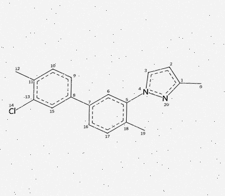 Cc1ccn(-c2cc(-c3ccc(C)c(Cl)c3)ccc2C)n1